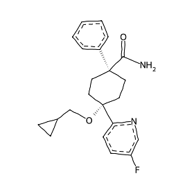 NC(=O)[C@]1(c2ccccc2)CC[C@](OCC2CC2)(c2ccc(F)cn2)CC1